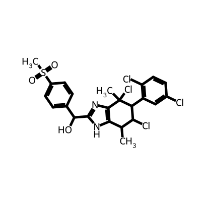 CC1c2[nH]c(C(O)c3ccc(S(C)(=O)=O)cc3)nc2C(C)(Cl)C(c2cc(Cl)ccc2Cl)C1Cl